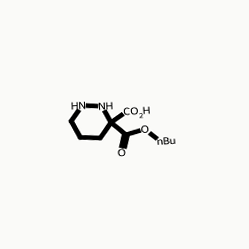 CCCCOC(=O)C1(C(=O)O)CCCNN1